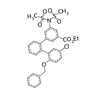 CCOC(=O)c1cc(-c2ccccc2-c2cc(Cl)ccc2OCc2ccccc2)cc(N(S(C)(=O)=O)S(C)(=O)=O)c1